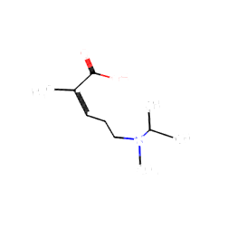 CC(=CCCN(C)C(C)C)C(=O)O